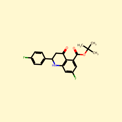 CC(C)(C)OC(=O)c1cc(F)cc2c1C(=O)CC(c1ccc(F)cc1)N2